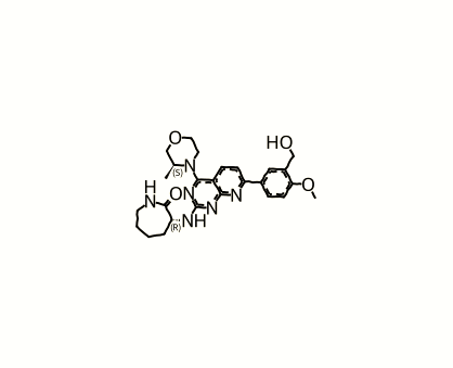 COc1ccc(-c2ccc3c(N4CCOC[C@@H]4C)nc(N[C@@H]4CCCCNC4=O)nc3n2)cc1CO